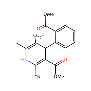 COC(=O)C1=C(C#N)NC(C)=C(C(=O)O)C1c1ccccc1C(=O)OC